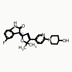 CC1(C)O/C(=C2/C(=O)Nc3ccc(F)cc32)C=C1c1ccc(N2CCC(O)CC2)nc1